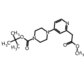 COC(=O)Cc1cc(N2CCN(C(=O)OC(C)(C)C)CC2)ccn1